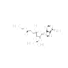 CCOC(=O)CC[C@]1(C)OC(n2cnc3c(N)ncnc32)C2OC(C)(C)OC21